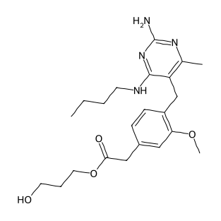 CCCCNc1nc(N)nc(C)c1Cc1ccc(CC(=O)OCCCO)cc1OC